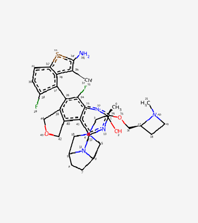 C[C@@H](O)CN1CC2CCC(C1)N2c1nc(OC[C@@H]2CCN2C)nc2c(F)c(-c3c(F)ccc4sc(N)c(C#N)c34)c3c(c12)COC3